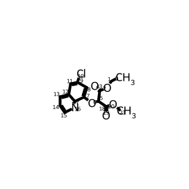 CCOC(=O)C(Oc1cc(Cl)cc2cccnc12)C(=O)OC